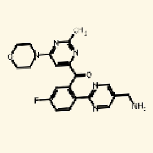 Cc1nc(C(=O)c2cc(F)ccc2-c2ncc(CN)cn2)cc(N2CCOCC2)n1